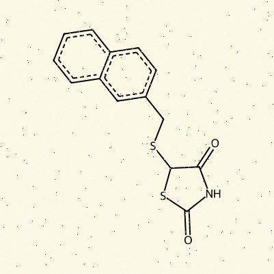 O=C1NC(=O)C(SCc2ccc3ccccc3c2)S1